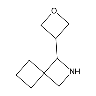 C1CC2(C1)CNC2C1COC1